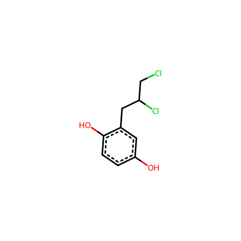 Oc1ccc(O)c(CC(Cl)CCl)c1